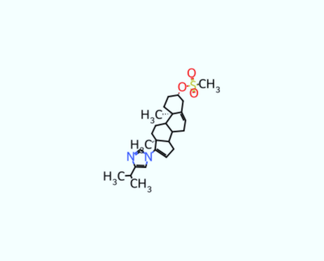 CC(C)c1cn(C2=CCC3C4CC=C5C[C@@H](OS(C)(=O)=O)CC[C@]5(C)C4CC[C@]23C)cn1